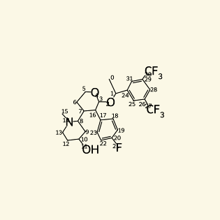 CC(OC1OCCC(C2CC(O)CCN2C)C1c1ccc(F)cc1)c1cc(C(F)(F)F)cc(C(F)(F)F)c1